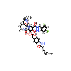 CCCCCCCCCCCCCC(=O)Nc1ccc(CC(=O)Oc2c3n(cc(C(=O)NCc4ccc(F)cc4F)c2=O)[C@@H]2CN(C3=O)[C@@H](C)CC[C@]23CC(OC)=NO3)cc1